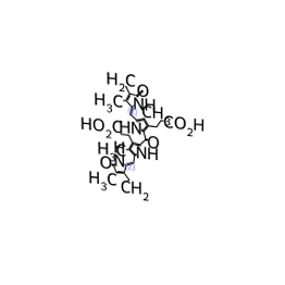 C=CC1=C(C)/C(=C/c2[nH]c(C(=O)c3[nH]c(/C=C4\NC(=O)C(C)=C4C=C)c(C)c3CCC(=O)O)c(CCC(=O)O)c2C)NC1=O